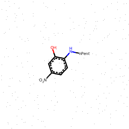 CCCCCNc1ccc([N+](=O)[O-])cc1O